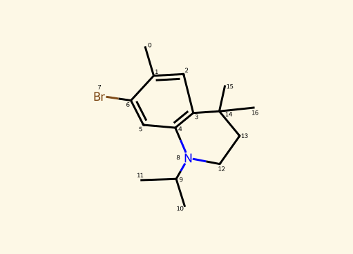 Cc1cc2c(cc1Br)N(C(C)C)CCC2(C)C